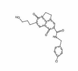 O=C(NCc1ccc(Cl)cc1)c1cn2c3c(cc(CCCO)c(=O)n3CC2)c1=O